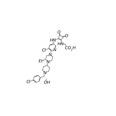 CC[C@H]1CN(c2ncc(Nc3c(NCC(=O)O)c(=O)c3=O)cc2Cl)CCN1C1CCN([C@H](CO)c2ccc(Cl)cc2)CC1